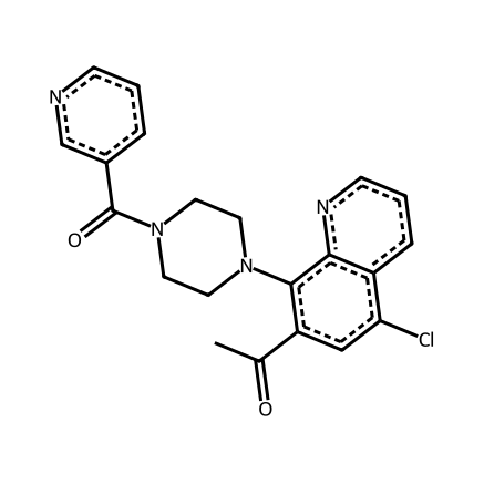 CC(=O)c1cc(Cl)c2cccnc2c1N1CCN(C(=O)c2cccnc2)CC1